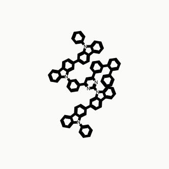 c1ccc(-c2ccccc2-c2cccc(-c3cc(-c4cccc(-n5c6ccccc6c6ccc(-c7ccc8c9ccccc9n(-c9ccccc9)c8c7)cc65)c4)nc(-n4c5ccccc5c5ccc(-c6ccc7c8ccccc8n(-c8ccccc8)c7c6)cc54)n3)c2)cc1